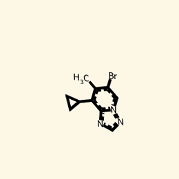 Cc1c(Br)cn2ncnc2c1C1CC1